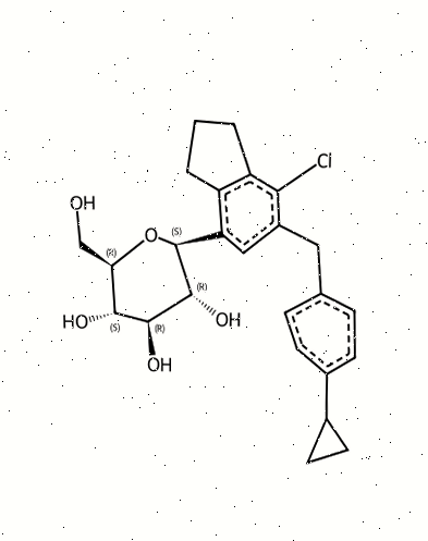 OC[C@H]1O[C@@H](c2cc(Cc3ccc(C4CC4)cc3)c(Cl)c3c2CCC3)[C@H](O)[C@@H](O)[C@@H]1O